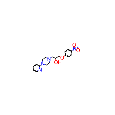 O=[N+]([O-])c1ccc(OC[C@@H](O)CN2CCN(c3ccccn3)CC2)cc1